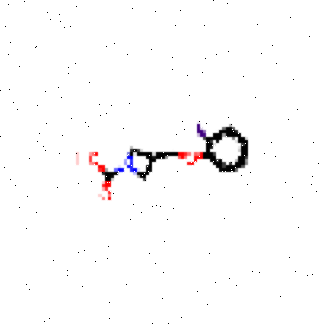 O=C(O)N1CC(COc2ccccc2I)C1